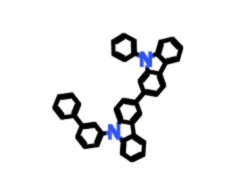 c1ccc(-c2cccc(-n3c4ccccc4c4cc(-c5ccc6c7ccccc7n(-c7ccccc7)c6c5)ccc43)c2)cc1